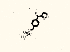 CS(=O)(=O)OCc1ccc(C(F)c2ccon2)cc1